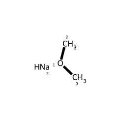 COC.[NaH]